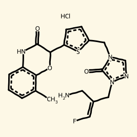 Cc1cccc2c1OC(c1ccc(Cn3cnn(C/C(=C/F)CN)c3=O)s1)C(=O)N2.Cl